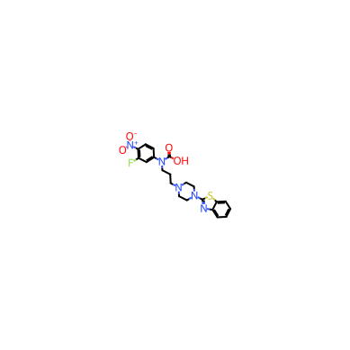 O=C(O)N(CCCN1CCN(c2nc3ccccc3s2)CC1)c1ccc([N+](=O)[O-])c(F)c1